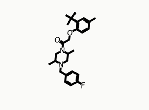 Cc1ccc(OCC(=O)N2CC(C)N(Cc3ccc(F)cc3)CC2C)c(C(C)(C)C)c1